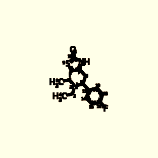 CCN(CC)C(Cc1csc(=O)[nH]1)c1ccc(F)cc1